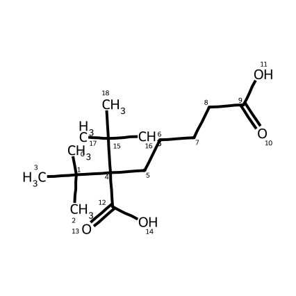 CC(C)(C)C(CCCCC(=O)O)(C(=O)O)C(C)(C)C